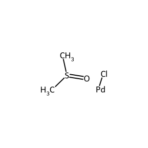 CS(C)=O.[Cl][Pd]